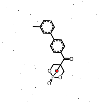 Cc1cccc(-c2ccc(C(=O)C34COP(=O)(OC3)OC4)cc2)c1